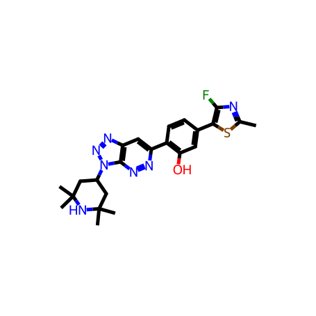 Cc1nc(F)c(-c2ccc(-c3cc4nnn(C5CC(C)(C)NC(C)(C)C5)c4nn3)c(O)c2)s1